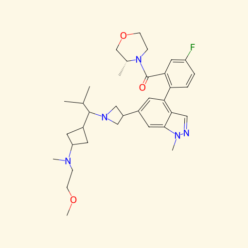 COCCN(C)C1CC(C(C(C)C)N2CC(c3cc(-c4ccc(F)cc4C(=O)N4CCOC[C@H]4C)c4cnn(C)c4c3)C2)C1